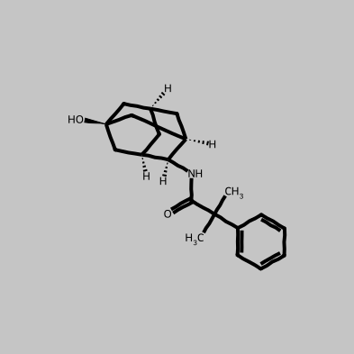 CC(C)(C(=O)N[C@H]1[C@@H]2C[C@@H]3C[C@@H]1C[C@](O)(C2)C3)c1ccccc1